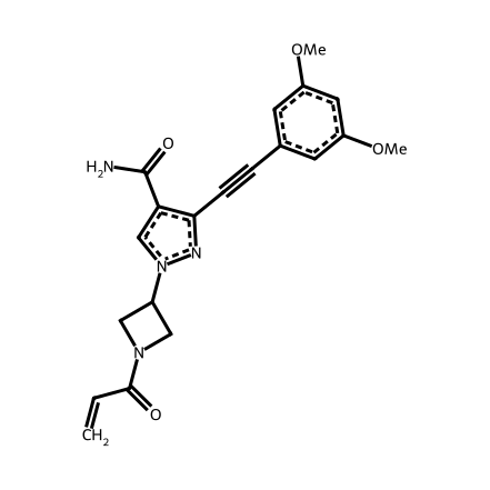 C=CC(=O)N1CC(n2cc(C(N)=O)c(C#Cc3cc(OC)cc(OC)c3)n2)C1